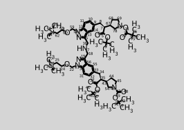 CC(C)(C)OC(=O)[C@@H](Cc1ccc2c(c1)c(CNCc1nn(COCC[Si](C)(C)C)c3ccc(C[C@H](C(=O)OC(C)(C)C)[C@H]4CCN(C(=O)OC(C)(C)C)C4)cc13)nn2COCC[Si](C)(C)C)[C@H]1CCN(OC(=O)C(C)(C)C)C1